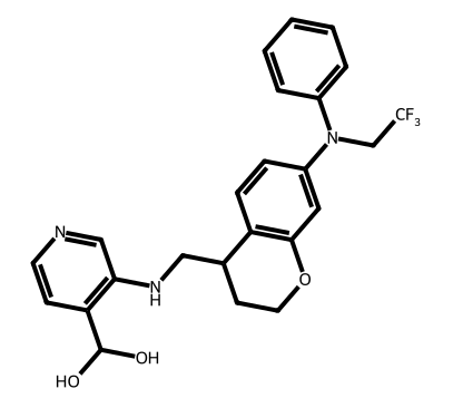 OC(O)c1ccncc1NCC1CCOc2cc(N(CC(F)(F)F)c3ccccc3)ccc21